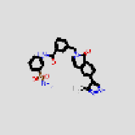 Cc1n[nH]cc1-c1ccc2c(=O)n(Cc3cccc(C(=O)Nc4cccc(S(N)(=O)=O)c4)c3)ccc2c1